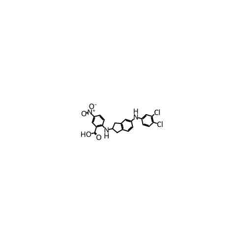 O=C(O)c1cc([N+](=O)[O-])ccc1NC1Cc2ccc(Nc3ccc(Cl)c(Cl)c3)cc2C1